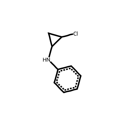 ClC1CC1Nc1ccccc1